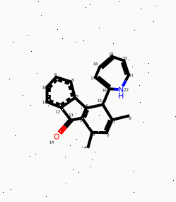 CC1=CC(C)C2=C(c3ccccc3C2=O)C1C1=CC=CC=CN1